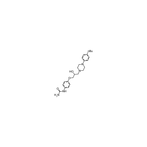 CCCCc1ccc(N2CCN(CC(O)COc3ccc(NC(N)=O)cc3)CC2)cc1